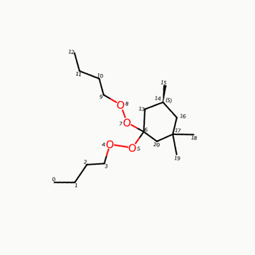 CCCCOOC1(OOCCCC)C[C@@H](C)CC(C)(C)C1